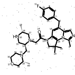 Cc1ncc2c(Cc3ccc(F)cc3)cc3c(n12)C(C)(C)CN3C(=O)CN1C[C@@H](C)NC[C@@H]1CN1CCOC[C@H]1C